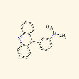 CN(C)c1cccc(-c2c3ccccc3nc3ccccc23)c1